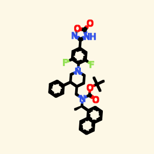 C[C@H](c1cccc2ccccc12)N(CC1CCN(c2c(F)cc(-c3noc(=O)[nH]3)cc2F)CC1c1ccccc1)C(=O)OC(C)(C)C